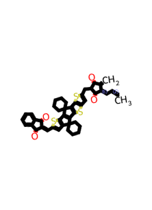 C=C1C(=O)C(Cc2cc3sc4c(c3s2)C2(CCCCC2)C2=C4C3(CCCCC3)c3cc(C=C4C(=O)c5ccccc5C4=O)sc32)C(=O)/C1=C/C=C\C